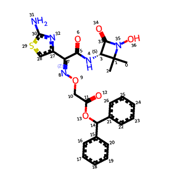 CC1(C)[C@H](NC(=O)/C(=N\OCC(=O)OC(c2ccccc2)c2ccccc2)c2csc(N)n2)C(=O)N1O